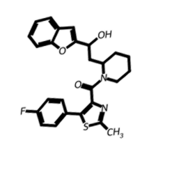 Cc1nc(C(=O)N2CCCCC2CC(O)c2cc3ccccc3o2)c(-c2ccc(F)cc2)s1